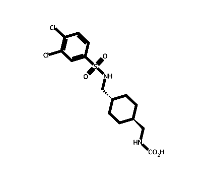 O=C(O)NC[C@H]1CC[C@H](CNS(=O)(=O)c2ccc(Cl)c(Cl)c2)CC1